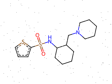 O=S(=O)(NC1CCCCC1CN1CCCCC1)c1cccs1